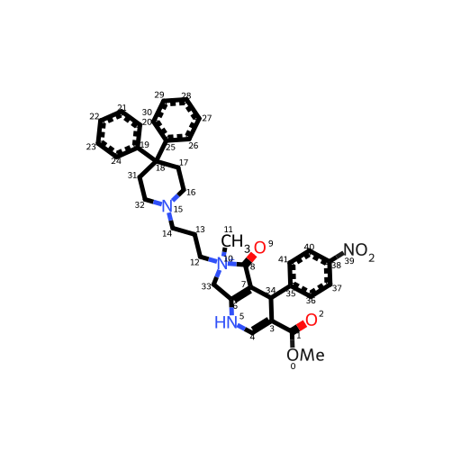 COC(=O)C1=CNC2=C(C(=O)[N+](C)(CCCN3CCC(c4ccccc4)(c4ccccc4)CC3)C2)C1c1ccc([N+](=O)[O-])cc1